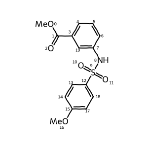 COC(=O)c1cccc(NS(=O)(=O)c2ccc(OC)cc2)c1